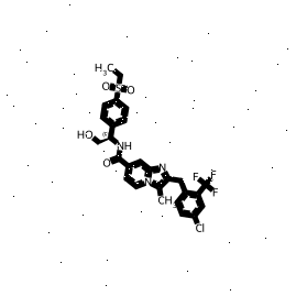 CCS(=O)(=O)c1ccc([C@H](CO)NC(=O)c2ccn3c(C)c(Cc4ccc(Cl)cc4C(F)(F)F)nc3c2)cc1